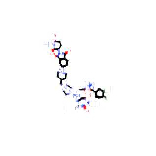 Cn1c(=O)c2c(nc(N3CCN(CC4CCN(c5ccc6c(c5)C(=O)N(C5CCC(=O)NC5=O)C6=O)CC4)CC3)n2Cc2nnc(-c3ccc(Cl)c(Cl)c3)o2)n(C)c1=O